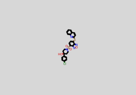 O=S(=O)(c1ccc(Sc2ccc3ccccc3n2)c2nonc12)N1CCC(O)(c2ccc(Cl)cc2)CC1